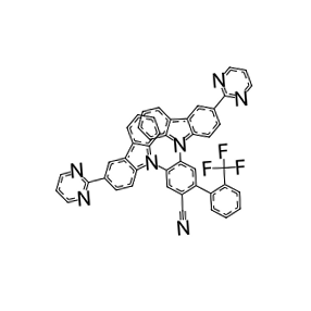 N#Cc1cc(-n2c3ccccc3c3cc(-c4ncccn4)ccc32)c(-n2c3ccccc3c3cc(-c4ncccn4)ccc32)cc1-c1ccccc1C(F)(F)F